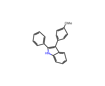 COc1ccc(-c2c(-c3ccccc3)[nH]c3ccccc23)cc1